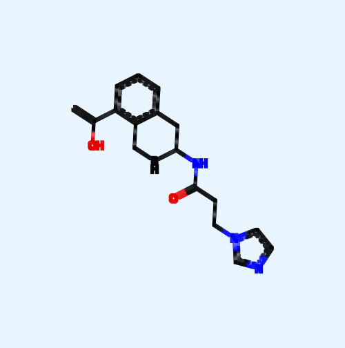 C=C(O)c1cccc2c1CBC(NC(=O)CCn1ccnc1)C2